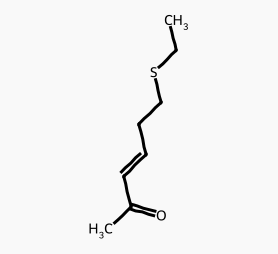 CCSCCC=CC(C)=O